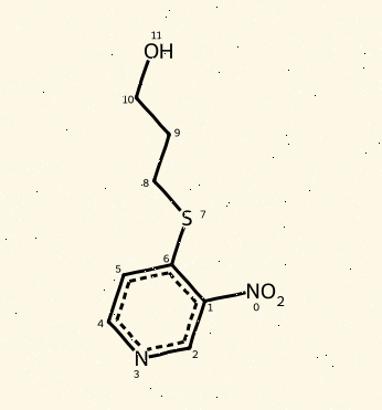 O=[N+]([O-])c1cnccc1SCCCO